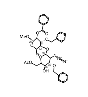 CCC1O[C@@H](OC)C(OC(=O)c2ccccc2)[C@H](OCc2ccccc2)[C@H]1O[C@@H]1OC(COC(C)=O)[C@H](O)[C@@H](OCc2ccccc2)C1N=[N+]=[N-]